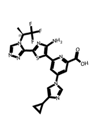 C[C@H](n1cnnc1-c1nc(N)c(-c2cc(-n3cnc(C4CC4)c3)cc(C(=O)O)n2)s1)C(F)(F)F